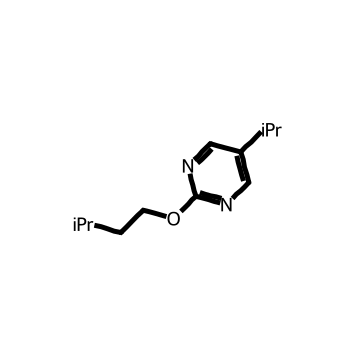 CC(C)CCOc1ncc(C(C)C)cn1